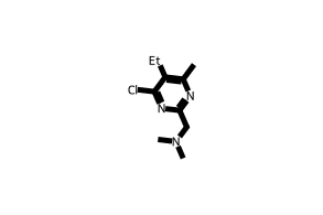 CCc1c(C)nc(CN(C)C)nc1Cl